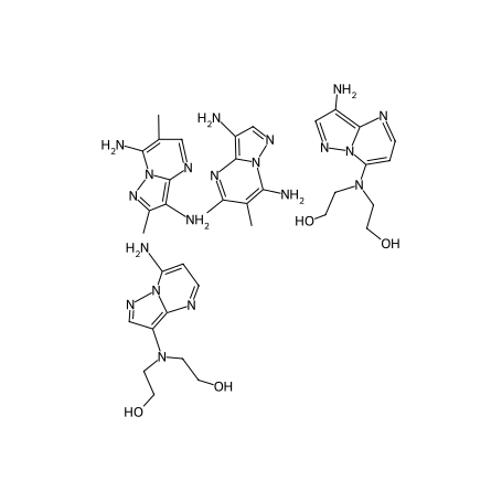 Cc1cnc2c(N)c(C)nn2c1N.Cc1nc2c(N)cnn2c(N)c1C.Nc1ccnc2c(N(CCO)CCO)cnn12.Nc1cnn2c(N(CCO)CCO)ccnc12